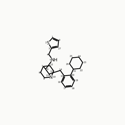 c1csc(CNC2C3CCN(CC3)C2Cc2ccccc2C2CCCCC2)c1